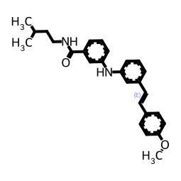 COc1ccc(/C=C/c2cccc(Nc3cccc(C(=O)NCCC(C)C)c3)c2)cc1